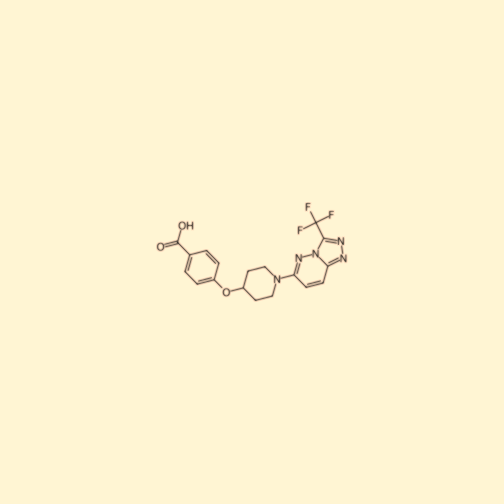 O=C(O)c1ccc(OC2CCN(c3ccc4nnc(C(F)(F)F)n4n3)CC2)cc1